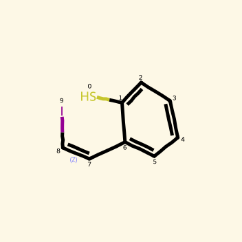 Sc1ccccc1/C=C\I